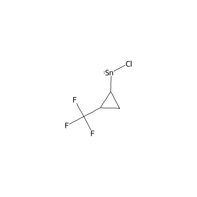 FC(F)(F)C1C[CH]1[Sn][Cl]